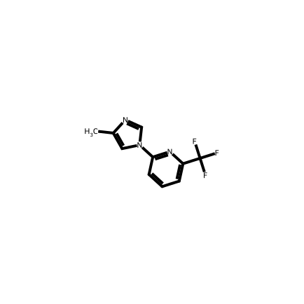 Cc1cn(-c2cccc(C(F)(F)F)n2)cn1